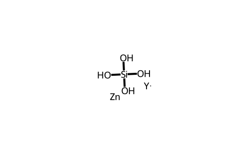 O[Si](O)(O)O.[Y].[Zn]